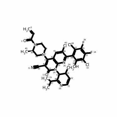 C=CC(=O)N1CCN(c2c(C#N)c(=O)n(C3C(C(C)C)=NC=CC3C)c3nc(-c4c(O)c(Cl)c(F)c(F)c4Cl)c(Cl)cc23)C[C@H]1C